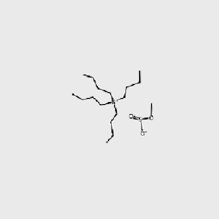 CCCC[N+](CCCC)(CCCC)CCCC.COS(=O)[O-]